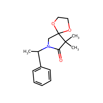 CC(c1ccccc1)N1CC2(OCCO2)C(C)(C)C1=O